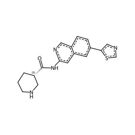 O=C(Nc1cc2cc(-c3cncs3)ccc2cn1)[C@H]1CCCNC1